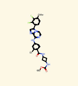 CCc1cc(Nc2nccn3c(-c4ccc(OC)c(F)c4F)cnc23)ccc1C(=O)NC1CC(NC(=O)OC(C)(C)C)C1